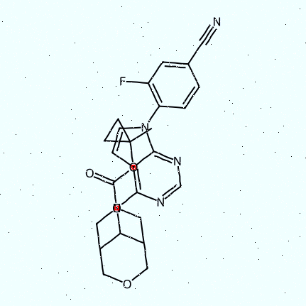 CC1(OC(=O)N2CC3COCC(C2)C3Oc2ncnc3c2ccn3-c2ccc(C#N)cc2F)CC1